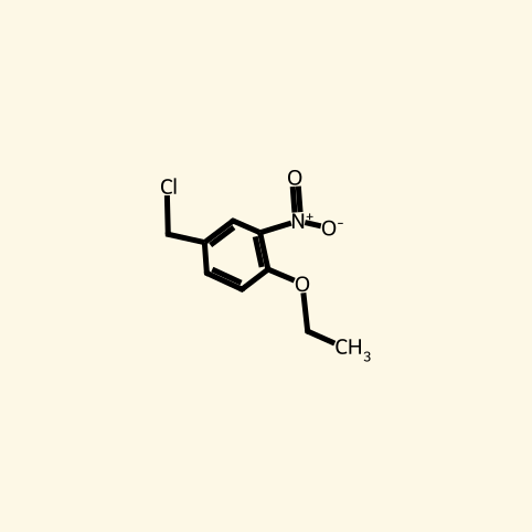 CCOc1ccc(CCl)cc1[N+](=O)[O-]